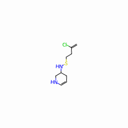 C=C(Cl)CCSNC1CC=CNC1